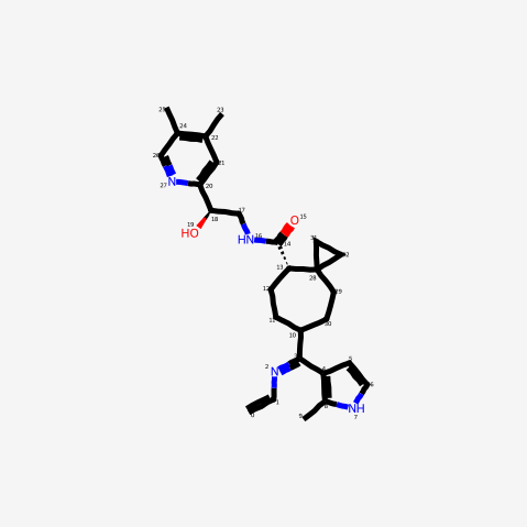 C=C/N=C(\c1cc[nH]c1C)C1CC[C@H](C(=O)NC[C@@H](O)c2cc(C)c(C)cn2)C2(CC1)CC2